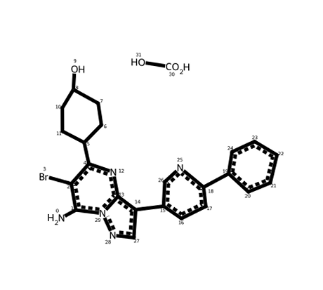 Nc1c(Br)c(C2CCC(O)CC2)nc2c(-c3ccc(-c4ccccc4)nc3)cnn12.O=C(O)O